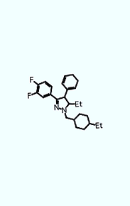 CCC1CCC(CN2N=C(c3ccc(F)c(F)c3)C(C3=CCCC=C3)C2CC)CC1